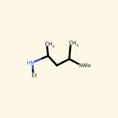 CCNC(C)CC(C)NC